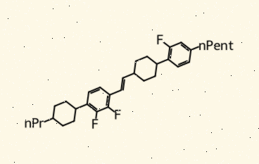 CCCCCc1ccc(C2CCC(/C=C/c3ccc(C4CCC(CCC)CC4)c(F)c3F)CC2)c(F)c1